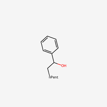 CCCCCCC(O)c1ccccc1